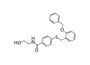 O=C(NCCO)c1ccc(SCc2ccccc2OCc2ccccc2)cc1